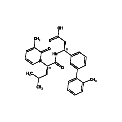 Cc1ccccc1-c1cccc([C@H](CC(=O)O)NC(=O)[C@@H](CC(C)C)n2cccc(C)c2=O)c1